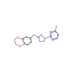 Cc1ccnc(C2CCN(Cc3ccc4c(c3)OCCO4)C2)n1